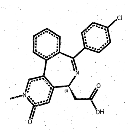 Cn1cc2c(cc1=O)[C@H](CC(=O)O)N=C(c1ccc(Cl)cc1)c1ccccc1-2